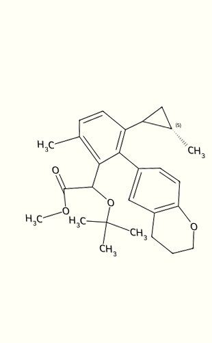 COC(=O)C(OC(C)(C)C)c1c(C)ccc(C2C[C@@H]2C)c1-c1ccc2c(c1)CCCO2